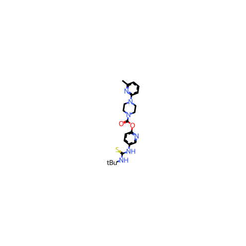 Cc1cccc(N2CCN(C(=O)Oc3ccc(NC(=S)NC(C)(C)C)cn3)CC2)n1